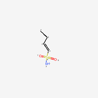 CCC=CS([NH])(=O)=O